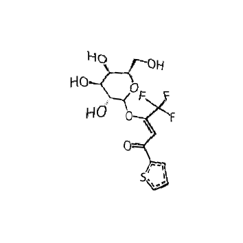 O=C(/C=C(\OC1O[C@H](CO)[C@H](O)[C@H](O)[C@H]1O)C(F)(F)F)c1cccs1